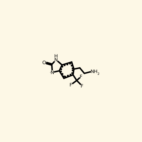 NCCc1cc2c(cc1C(F)(F)F)[N]C(=O)N2